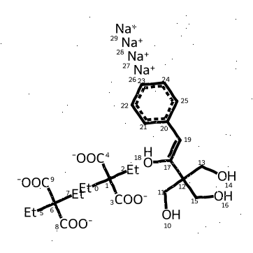 CCC(CC)(C(=O)[O-])C(=O)[O-].CCC(CC)(C(=O)[O-])C(=O)[O-].OCC(CO)(CO)C(O)=Cc1ccccc1.[Na+].[Na+].[Na+].[Na+]